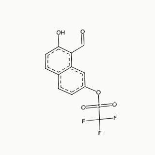 O=Cc1c(O)ccc2ccc(OS(=O)(=O)C(F)(F)F)cc12